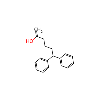 C=C(O)CCCC(c1ccccc1)c1ccccc1